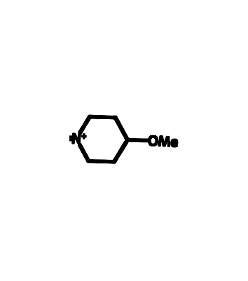 COC1CC[N+]CC1